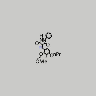 CCCOc1ccc(/C=C2/C(=O)NN(c3ccccc3)C2=O)c(OCCOC)c1C